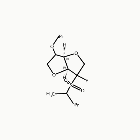 CC(C)OC1CO[C@H]2[C@@H]1OCC2(F)S(=O)(=O)C(C)C(C)C